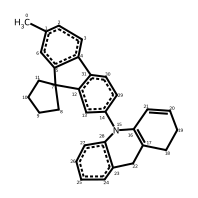 Cc1ccc2c(c1)C1(CCCC1)c1cc(N3C4=C(CCC=C4)Cc4ccccc43)ccc1-2